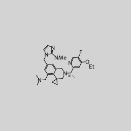 CCOc1cc([C@H](C)N2Cc3cc(Cn4ccnc4NC)cc(CN(C)C)c3C3(CC3)C2)ncc1F